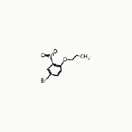 [CH2]CCOc1ccc(Br)cc1[N+](=O)[O-]